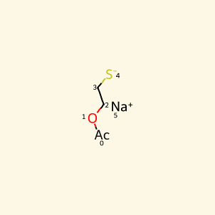 CC(=O)OCC[S-].[Na+]